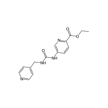 CCOC(=O)c1ccc(NC(=O)NCc2ccncc2)cn1